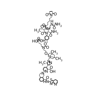 Cc1c(-c2ccc(N3CCc4cccc(C(=O)Nc5nc6ncccc6s5)c4C3)nc2C(=O)O)cnn1CC12CC3(C)CC(C)(C1)CC(OCCN(CCCP(=O)(O)O)C(=O)OCc1ccc(N(C(=O)[C@@H](NC(=O)CCCCCN4C(=O)C=CC4=O)C(C)C)[C@@H](CCCNC(N)=O)C(N)=O)cc1)(C3)C2